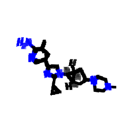 Cc1cc(-c2cn([C@H]3[C@@H]4CC(N5CCN(C)CC5)C[C@@H]43)c(C3CC3)n2)cnc1N